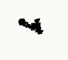 Cn1c(CCCOCc2ccccc2)nc2c(C3CC3)nc3cc(Br)sc3c21